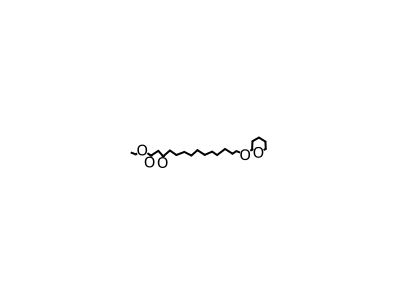 CCOC(=O)CC(=O)CCCCCCCCCCCOC1CCCCO1